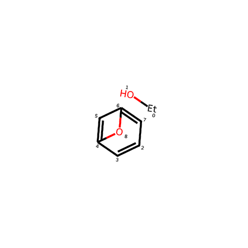 CCO.c1cc2cc(c1)O2